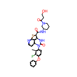 Cc1c(N2C(=O)Nc3c(C(=O)N[C@@H]4CCCN(C(=O)CCO)C4)sc4nccc2c34)ccc(Oc2ccccc2)c1F